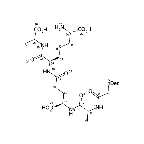 CCCCCCCCCCCC(=O)N[C@@H](C)C(=O)N[C@H](CCC(=O)N[C@H](CSC[C@H](N)C(=O)O)C(=O)N[C@H](C)C(=O)O)C(=O)O